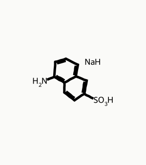 Nc1cccc2cc(S(=O)(=O)O)ccc12.[NaH]